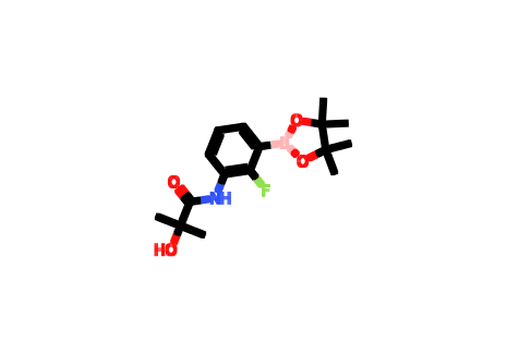 CC(C)(O)C(=O)Nc1cccc(B2OC(C)(C)C(C)(C)O2)c1F